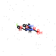 Cc1ccccc1CCC1(NC(=O)C2=C(c3ccc(CCCOc4cc(F)ccc4Br)cc3)C[C@@H]3CN(C(=O)CCCC(=O)O)C[C@H]2N3)CC1